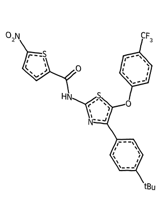 CC(C)(C)c1ccc(-c2nc(NC(=O)c3ccc([N+](=O)[O-])s3)sc2Oc2ccc(C(F)(F)F)cc2)cc1